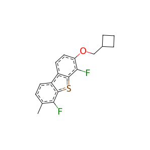 Cc1ccc2c(sc3c(F)c(OCC4CCC4)ccc32)c1F